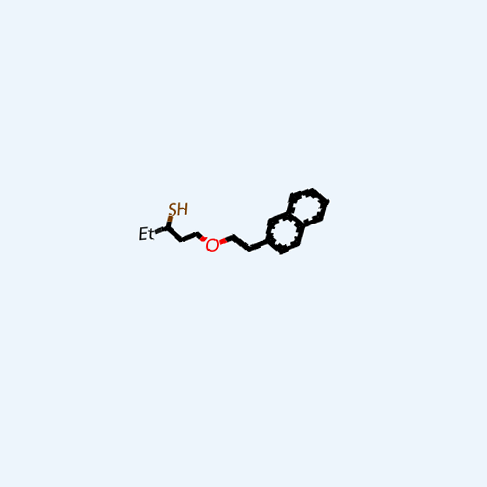 CCC(S)CCOCCc1ccc2ccccc2c1